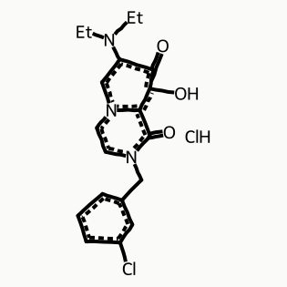 CCN(CC)c1cn2ccn(Cc3cccc(Cl)c3)c(=O)c2c(O)c1=O.Cl